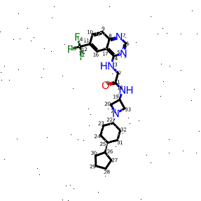 O=C(CNc1ncnc2ccc(C(F)(F)F)cc12)NC1CN([C@H]2CC[C@H](C3CCCC3)CC2)C1